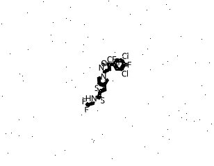 Fc1c(Cl)cc(C2(C(F)(F)F)CC(N3Cc4cc(C(=S)NCC(F)F)sc4C3)=NO2)cc1Cl